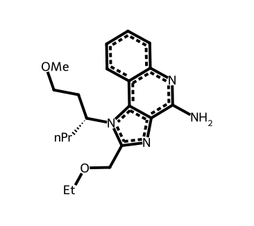 CCC[C@H](CCOC)n1c(COCC)nc2c(N)nc3ccccc3c21